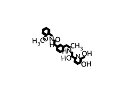 COc1ccccc1CNC(=O)Cc1cccc(C[C@@H](C)NCC(O)c2ccc(O)c(CO)n2)c1